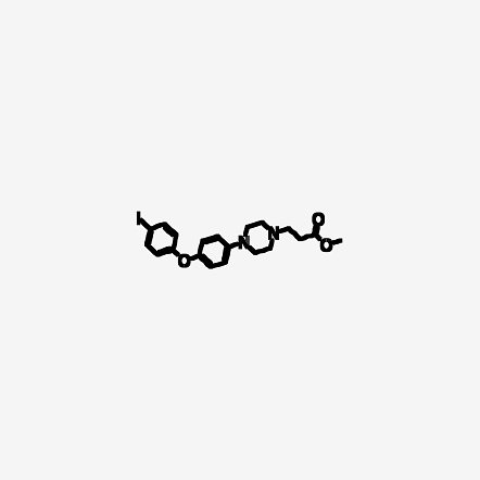 COC(=O)CCN1CCN(c2ccc(Oc3ccc(I)cc3)cc2)CC1